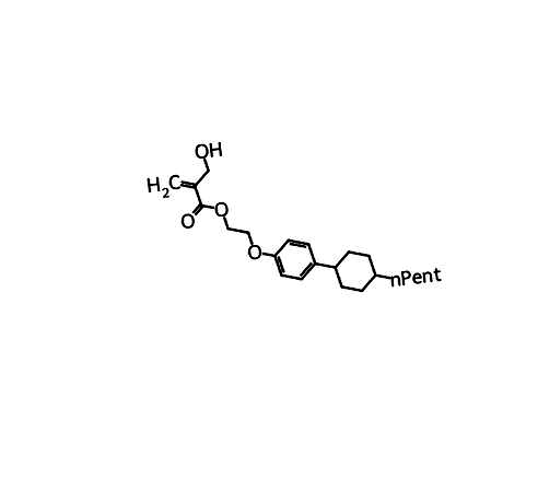 C=C(CO)C(=O)OCCOc1ccc(C2CCC(CCCCC)CC2)cc1